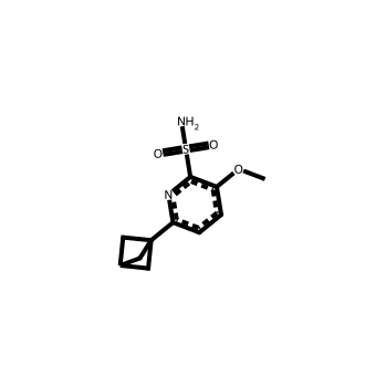 COc1ccc(C23CC(C2)C3)nc1S(N)(=O)=O